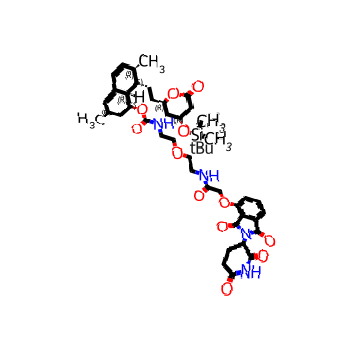 C[C@H]1C=C2C=C[C@H](C)[C@H](CC[C@@H]3C[C@@H](O[Si](C)(C)C(C)(C)C)CC(=O)O3)[C@H]2[C@@H](OC(=O)NCCOCCNC(=O)COc2cccc3c2C(=O)N(C2CCC(=O)NC2=O)C3=O)C1